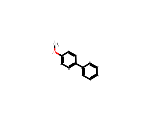 COc1c[c]c(-c2ccccc2)cc1